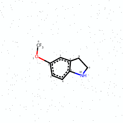 FC(F)(F)Oc1ccc2c(c1)CCN2